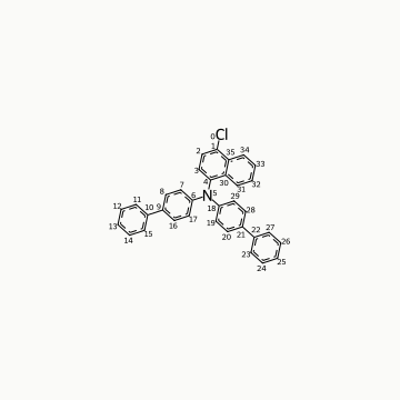 Clc1ccc(N(c2ccc(-c3ccccc3)cc2)c2ccc(-c3ccccc3)cc2)c2ccccc12